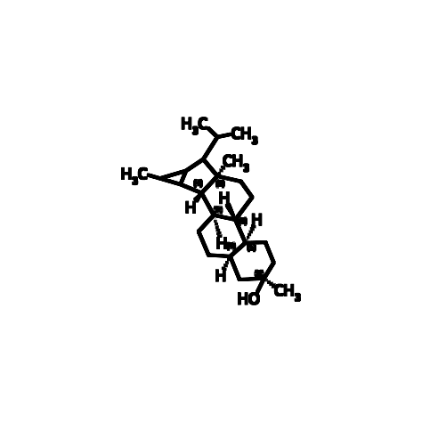 CC(C)C1C2C(C)C2[C@H]2[C@@H]3CC[C@@H]4C[C@](C)(O)CC[C@@H]4[C@H]3CC[C@]12C